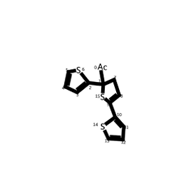 CC(=O)C1(c2cccs2)CC=C(c2cccs2)S1